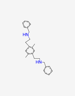 Cc1cc(CCNCc2ccccc2)c(C)cc1CCNCc1ccccc1